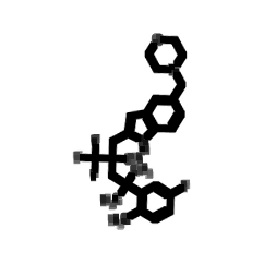 Cc1ccc(F)cc1C(C)(C)CC(O)(Cc1cc2cc(CN3CCOCC3)ccc2[nH]1)C(F)(F)F